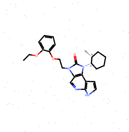 CCOc1ccccc1OCCn1c(=O)n([C@H]2CCCC[C@H]2C)c2c3cc[nH]c3ncc21